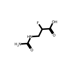 NC(=O)NCC(F)C(=O)O